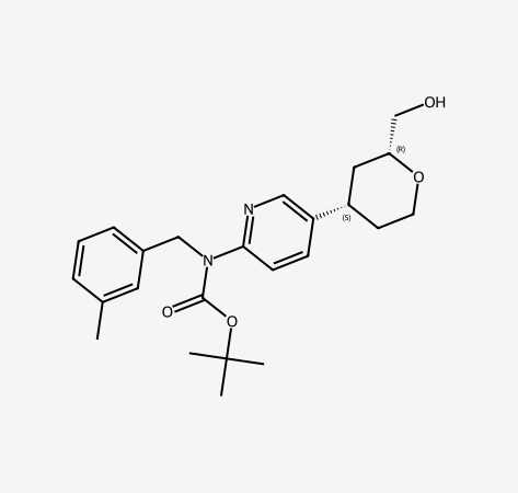 Cc1cccc(CN(C(=O)OC(C)(C)C)c2ccc([C@H]3CCO[C@@H](CO)C3)cn2)c1